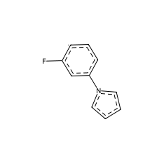 Fc1[c]ccc(-n2cccc2)c1